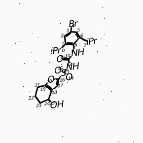 CC(C)c1cc(Br)cc(C(C)C)c1NC(=O)NS(=O)(=O)c1cc2c(o1)CCCC2O